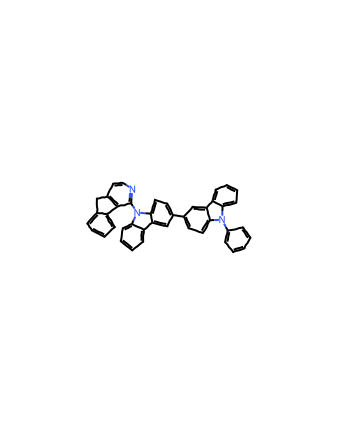 c1ccc(-n2c3ccccc3c3cc(-c4ccc5c(c4)c4ccccc4n5-c4nccc5c4-c4ccccc4C5)ccc32)cc1